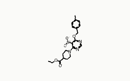 CCOC(=O)C1CCN(c2ncnc(OCc3ccc(C)cc3)c2[N+](=O)[O-])CC1